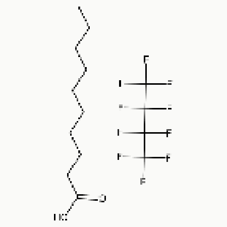 CCCCCCCCCC(=O)O.FC(F)(F)C(F)(F)C(F)(F)C(F)(F)F